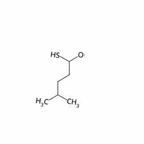 CC(C)CCC([O])S